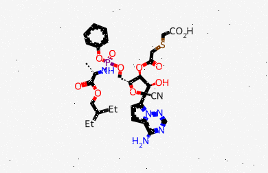 CCC(CC)COC(=O)[C@H](C)N[P@](=O)(OC[C@H]1O[C@@](C#N)(c2ccc3c(N)ncnn23)[C@H](O)[C@@H]1OC(=O)CSCC(=O)O)Oc1ccccc1